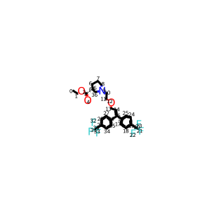 CCOC(=O)[C@@H]1CCCN(CCOCC=C(c2ccc(C(F)(F)F)cc2)c2ccc(C(F)(F)F)cc2)C1